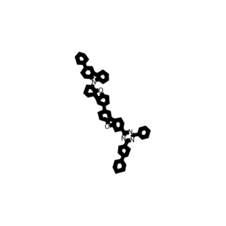 c1ccc(-c2ccc(-c3nc(-c4ccccc4)nc(-c4ccc5c(c4)oc4ccc(-c6ccc7oc8c(-n9c%10ccccc%10c%10cc(-c%11ccccc%11)ccc%109)cccc8c7c6)cc45)n3)cc2)cc1